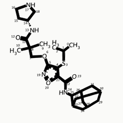 CC(C)Sc1c(OCC(C)(C)C(=O)N[C@@H]2CCNC2)noc1C(=O)NC1C2CC3CC(C2)CC1C3